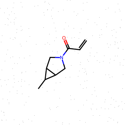 C=CC(=O)N1CC2C(C)C2C1